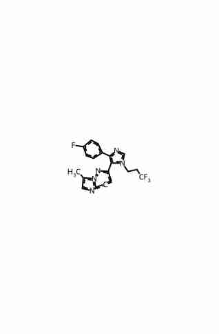 Cc1cnc2ccc(-c3c(-c4ccc(F)cc4)ncn3CCC(F)(F)F)nn12